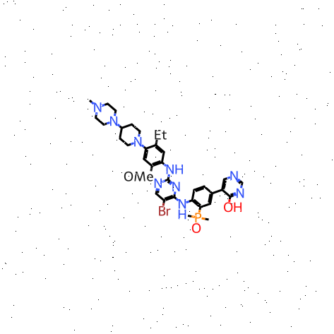 CCc1cc(Nc2ncc(Br)c(Nc3ccc(-c4cncnc4O)cc3P(C)(C)=O)n2)c(OC)cc1N1CCC(N2CCN(C)CC2)CC1